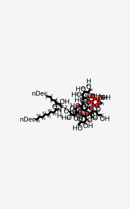 CCCCCCCCCCCCC/C=C/[C@@H](O)[C@H](CO[C@@H]1OC(CO)[C@@H](O[C@@H]2OC(CO)[C@H](O)[C@H](O[C@@H]3OC(CO)[C@@H](O[C@@H]4OC(CO)[C@H](O)[C@H](O[C@H]5OC(CO)[C@H](O)[C@H](O)C5O)C4O[C@H]4OC(C)[C@@H](O)C(O)[C@@H]4O)[C@H](O[C@H]4OC(C)[C@@H](O)C(O)[C@@H]4O)C3NC(C)=O)C2O)[C@H](O)C1O)NC(=O)CCCCCCCCCCCCCCCCC